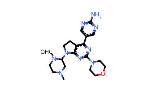 CN1CCN(C=O)C(N2CCc3c(-c4cnc(N)nc4)nc(N4CCOCC4)nc32)C1